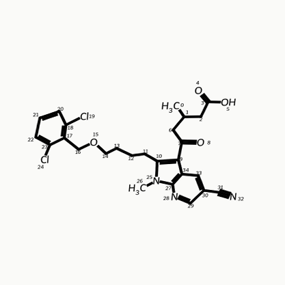 CC(CC(=O)O)CC(=O)c1c(CCCCOCc2c(Cl)cccc2Cl)n(C)c2ncc(C#N)cc12